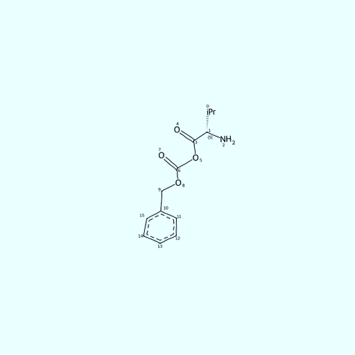 CC(C)[C@H](N)C(=O)OC(=O)OCc1ccccc1